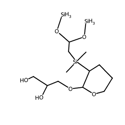 C[Si](C)(CC(O[SiH3])O[SiH3])C1CCCOC1OCC(O)CO